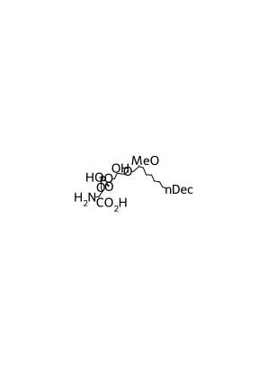 CCCCCCCCCCCCCCCCC(COCC(O)COP(=O)(O)OCC(N)C(=O)O)OC